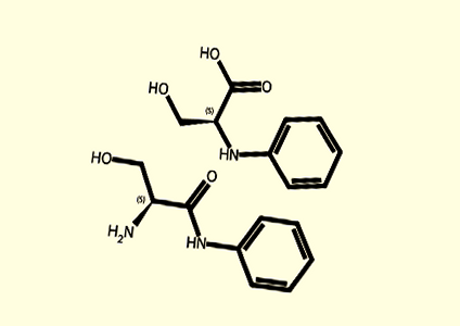 N[C@@H](CO)C(=O)Nc1ccccc1.O=C(O)[C@H](CO)Nc1ccccc1